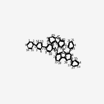 c1ccc(-c2ccc(-c3ccc(N(c4cccc5c4sc4c(-c6ccccc6)cc(-c6ccccc6)cc45)c4cccc5sc6ccccc6c45)cc3)cc2)cc1